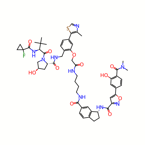 Cc1ncsc1-c1ccc(CNC(=O)[C@@H]2C[C@@H](O)CN2C(=O)[C@@H](NC(=O)C2(F)CC2)C(C)(C)C)c(OCC(=O)NCCCCNC(=O)c2ccc3c(c2)[C@H](NC(=O)c2cc(-c4ccc(C(=O)N(C)C)c(O)c4)on2)CC3)c1